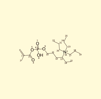 C=C(C)C(=O)OP(=O)(O)OCCCC(CC)[N+](CCC)(CCC)CCC